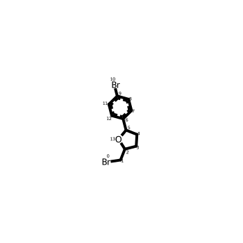 BrCC1CCC(c2ccc(Br)cc2)O1